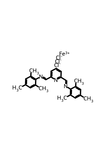 Cc1cc(C)c(N=Cc2cccc(C=Nc3c(C)cc(C)cc3C)n2)c(C)c1.[Cl-].[Cl-].[Cl-].[Fe+3]